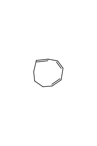 [C]1=CCCCC=CC=C1